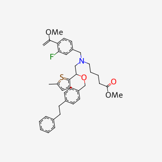 C=C(OC)c1ccc(CN(CCCCC(=O)OC)CC(OCc2ccc(CCc3ccccc3)cc2)c2ccc(C)s2)cc1F